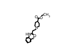 CCOC(=O)C1CCN(CCC(=O)Nc2ccccc2F)CC1